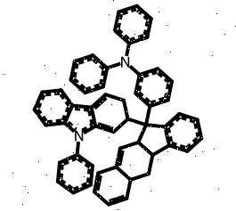 C1=CC2=CC3C(CC2C=C1)c1ccccc1C3(c1cccc(N(c2ccccc2)c2ccccc2)c1)C1C=c2c(c3ccccc3n2-c2ccccc2)=CC1